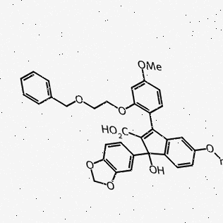 CCCOc1ccc2c(c1)C(c1ccc(OC)cc1OCCOCc1ccccc1)=C(C(=O)O)C2(O)c1ccc2c(c1)OCO2